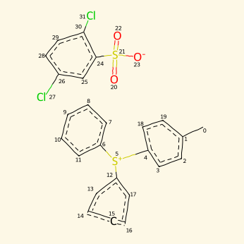 Cc1ccc([S+](c2ccccc2)c2ccccc2)cc1.O=S(=O)([O-])c1cc(Cl)ccc1Cl